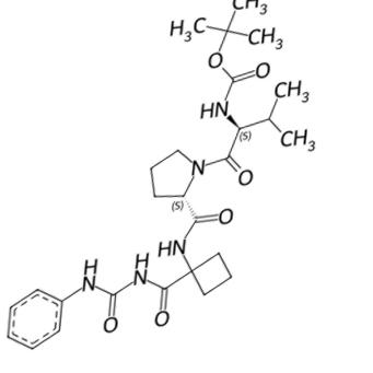 CC(C)[C@H](NC(=O)OC(C)(C)C)C(=O)N1CCC[C@H]1C(=O)NC1(C(=O)NC(=O)Nc2ccccc2)CCC1